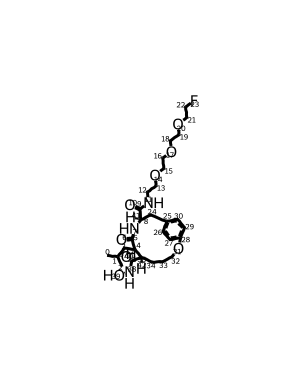 CC(C)C[C@H]1C(=O)N[C@H](C(=O)NCCOCCOCCOCCF)Cc2ccc(cc2)OCCC[C@@H]1C(=O)NO